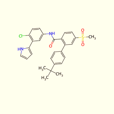 CC(C)(C)c1ccc(-c2cc(S(C)(=O)=O)ccc2C(=O)Nc2ccc(Cl)c(-c3ccc[nH]3)c2)cc1